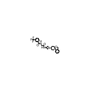 O=C(CNC(=O)c1cccc(C(F)(F)F)c1)NC1CN([C@H]2CC[C@@]3(CC2)OCc2ccccc23)C1